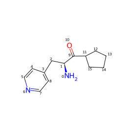 N[C@@H](Cc1ccncc1)C(=O)C1CCCC1